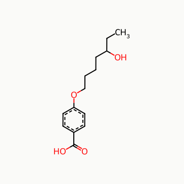 CCC(O)CCCCOc1ccc(C(=O)O)cc1